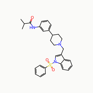 CC(C)C(=O)Nc1cccc(C2CCN(Cc3cn(S(=O)(=O)c4ccccc4)c4ccccc34)CC2)c1